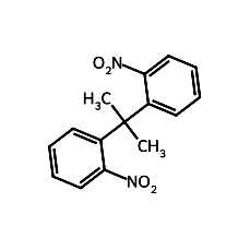 CC(C)(c1ccccc1[N+](=O)[O-])c1ccccc1[N+](=O)[O-]